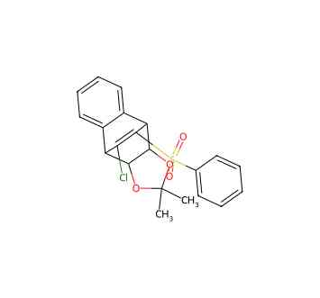 CC1(C)OC2C3C(Cl)=C(S(=O)(=O)c4ccccc4)C(c4ccccc43)C2O1